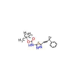 CC(C)(C)OC(=O)Nc1nnc(C#CC2(c3ccccc3)CC2)s1